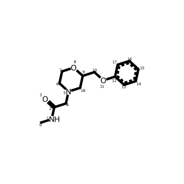 CNC(=O)CN1CCOC(COc2ccccc2)C1